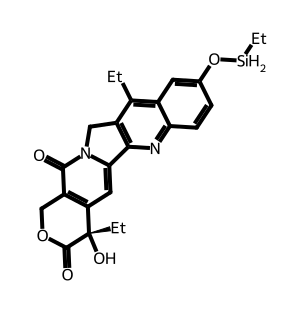 CC[SiH2]Oc1ccc2nc3c(c(CC)c2c1)Cn1c-3cc2c(c1=O)COC(=O)[C@]2(O)CC